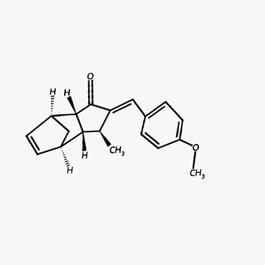 COc1ccc(/C=C2/C(=O)[C@@H]3[C@H]([C@@H]2C)[C@H]2C=C[C@@H]3C2)cc1